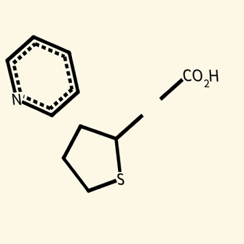 CC(=O)O.CC1CCCS1.c1ccncc1